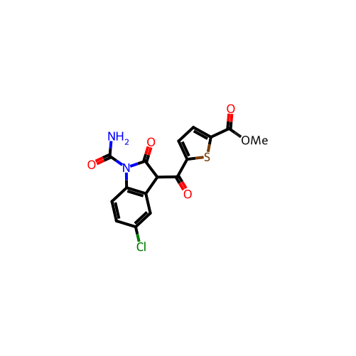 COC(=O)c1ccc(C(=O)C2C(=O)N(C(N)=O)c3ccc(Cl)cc32)s1